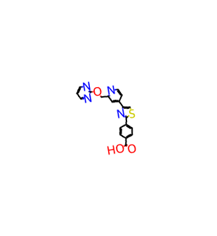 O=C(O)c1ccc(-c2nc(-c3ccnc(COc4ncccn4)c3)cs2)cc1